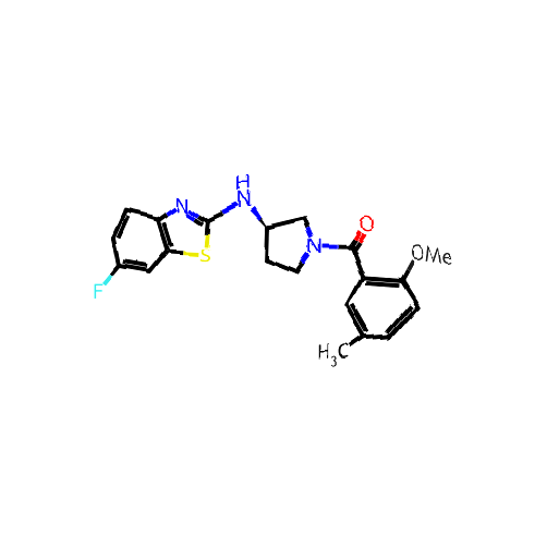 COc1ccc(C)cc1C(=O)N1CC[C@@H](Nc2nc3ccc(F)cc3s2)C1